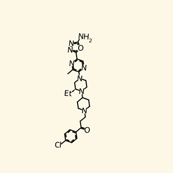 CC[C@H]1CN(c2ncc(-c3nnc(N)o3)nc2C)CCN1C1CCN(CCC(=O)c2ccc(Cl)cc2)CC1